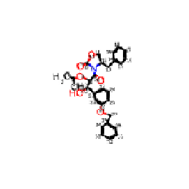 CC(C)OC(C(=O)N1C(=O)OCC1Cc1ccccc1)C(O)c1cccc(OCc2ccccc2)c1